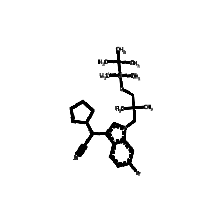 CC(C)(CO[Si](C)(C)C(C)(C)C)Cn1cc(C(C#N)C2CCCC2)c2ccc(Br)cc21